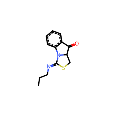 CCC/N=C1\SCC2C(=O)c3ccccc3N12